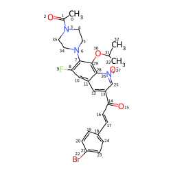 CC(=O)N1CCN(c2c(F)cc3cc(C(=O)C=Cc4ccc(Br)cc4)c[n+]([O-])c3c2OC(C)C)CC1